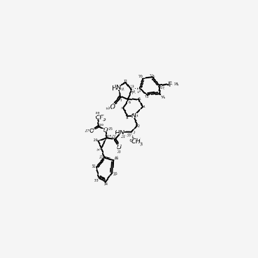 C[C@@H](CN1CCC2(CC1)C(=O)NC[C@@H]2c1ccc(F)cc1)NC(=O)C1(OC(=O)C(F)(F)F)CC1c1ccccc1